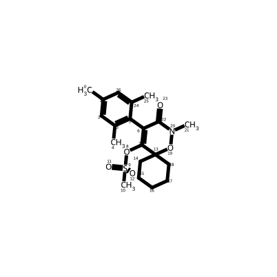 Cc1cc(C)c(C2=C(OS(C)(=O)=O)C3(CCCCC3)ON(C)C2=O)c(C)c1